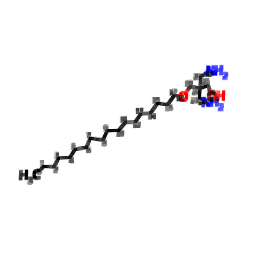 CCCCCCCCCCCCCCCCCCOCC(CN)(CN)CO